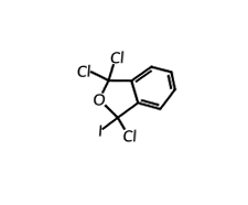 ClC1(Cl)OC(Cl)(I)c2ccccc21